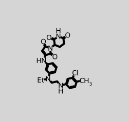 CCN(CCNc1ccc(C)c(Cl)c1)c1cccc(NC2=CC(=O)N(C3CCC(=O)NC3=O)C2=O)c1